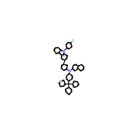 Fc1ccc(-n2c3ccccc3c3cc(-c4cccc(N(c5ccc(C(c6ccccc6)(c6ccccc6)c6ccccc6)cc5)c5ccc6ccccc6c5)c4)ccc32)cc1